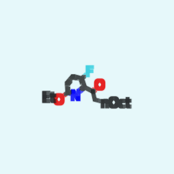 CCCCCCCCCC(=O)c1nc(OCC)ccc1F